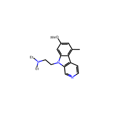 CCN(CC)CCn1c2cnccc2c2c(C)cc(OC)cc21